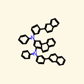 c1ccc(N(c2cccc(-c3ccc4ccccc4c3)c2)c2cc(N(c3ccccc3)c3cccc(-c4ccc5ccccc5c4)c3)c3ccc4ccccc4c3c2)cc1